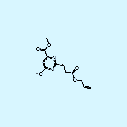 C=CCOC(=O)CSc1nc(O)cc(C(=O)OC)n1